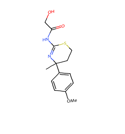 COc1ccc(C2(C)CCSC(NC(=O)CO)=N2)cc1